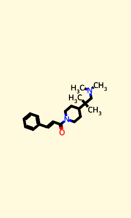 CN(C)CC(C)(C)C1CCN(C(=O)C=Cc2ccccc2)CC1